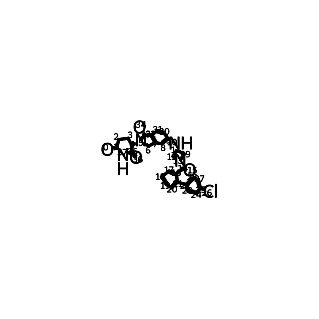 O=C1CCC(N2Cc3cc(NC4CN(C(=O)c5ccccc5-c5ccc(Cl)cc5)C4)ccc3C2=O)C(=O)N1